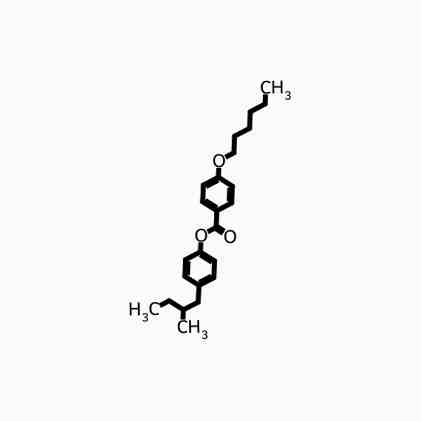 CCCCCCOc1ccc(C(=O)Oc2ccc(CC(C)CC)cc2)cc1